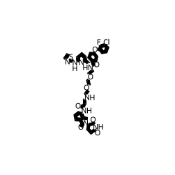 O=C1CCC(N2Cc3c(NC(=O)CCNCCOCCOCCNC(=O)[C@]4(Cc5cccc(Nc6nccs6)n5)CC[C@@H](Oc5cccc(Cl)c5F)CC4)cccc3C2=O)C(=O)N1